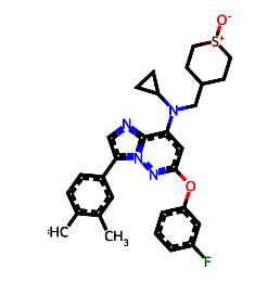 [CH]c1ccc(-c2cnc3c(N(CC4CC[S+]([O-])CC4)C4CC4)cc(Oc4cccc(F)c4)nn23)cc1C